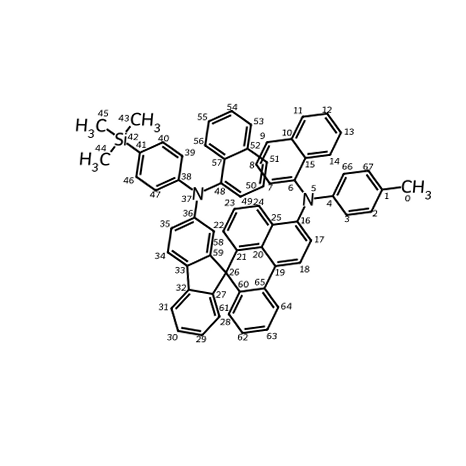 Cc1ccc(N(c2cccc3ccccc23)c2ccc3c4c(cccc24)C2(c4ccccc4-c4ccc(N(c5ccc([Si](C)(C)C)cc5)c5cccc6ccccc56)cc42)c2ccccc2-3)cc1